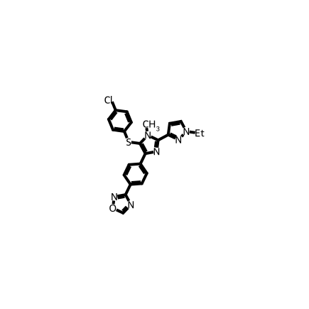 CCn1ccc(-c2nc(-c3ccc(-c4ncon4)cc3)c(Sc3ccc(Cl)cc3)n2C)n1